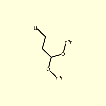 [Li][CH2]CC(OCCC)OCCC